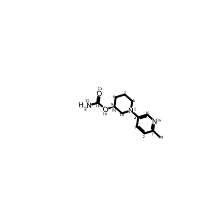 Cc1ccc(N2CCC[C@H](OC(N)=O)C2)cn1